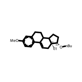 CCCCO[C@H]1CCC2C3CCc4cc(OC)ccc4C3=CC[C@@]21CC